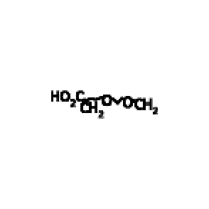 C=COCCCOCCCC(=C)C(=O)O